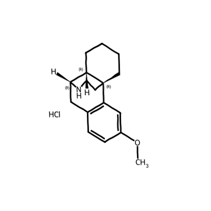 COc1ccc2c(c1)[C@@]13CCCC[C@H]1[C@@H](C2)NCC3.Cl